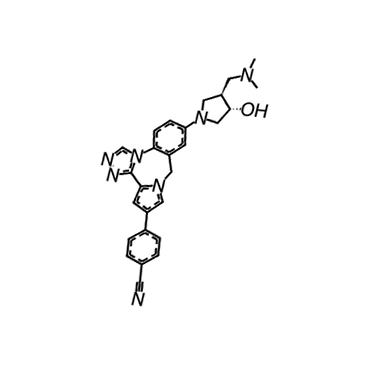 CN(C)C[C@@H]1CN(c2ccc3c(c2)Cn2cc(-c4ccc(C#N)cc4)cc2-c2nncn2-3)C[C@H]1O